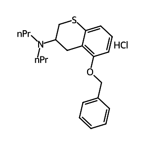 CCCN(CCC)C1CSc2cccc(OCc3ccccc3)c2C1.Cl